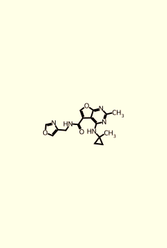 Cc1nc(NC2(C)CC2)c2c(C(=O)NCc3cocn3)coc2n1